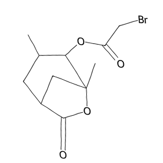 CC1CC2CC(C)(OC2=O)C1OC(=O)CBr